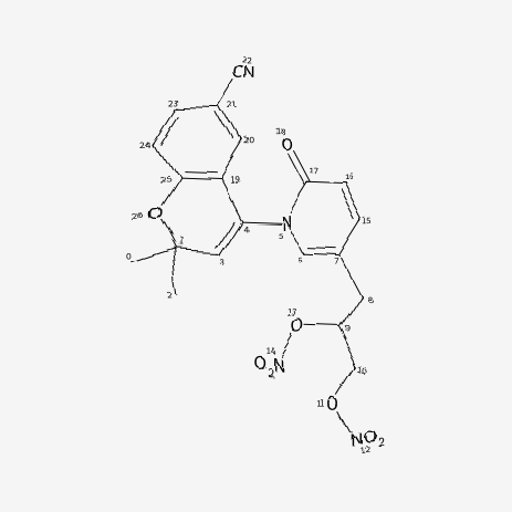 CC1(C)C=C(n2cc(CC(CO[N+](=O)[O-])O[N+](=O)[O-])ccc2=O)c2cc(C#N)ccc2O1